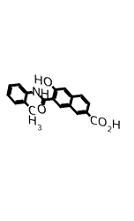 Cc1ccccc1NC(=O)c1cc2cc(C(=O)O)ccc2cc1O